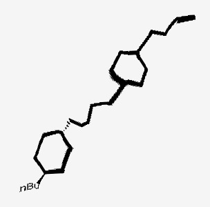 C=CCCC1CCC(CCCC[C@H]2CC[C@H](CCCC)CC2)CC1